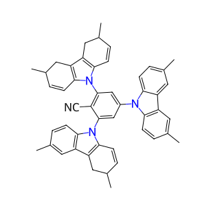 Cc1ccc2c(c1)c1c(n2-c2cc(-n3c4ccc(C)cc4c4cc(C)ccc43)cc(-n3c4c(c5c3C=CC(C)C5)CC(C)C=C4)c2C#N)C=CC(C)C1